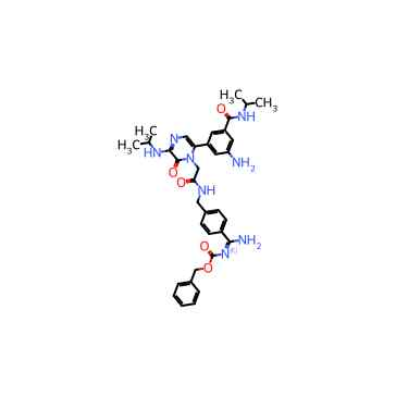 CC(C)NC(=O)c1cc(N)cc(-c2cnc(NC(C)C)c(=O)n2CC(=O)NCc2ccc(/C(N)=N\C(=O)OCc3ccccc3)cc2)c1